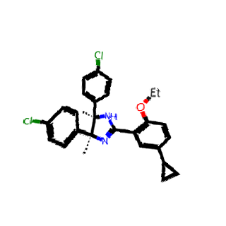 CCOc1ccc(C2CC2)cc1C1=N[C@@](C)(c2ccc(Cl)cc2)[C@@](C)(c2ccc(Cl)cc2)N1